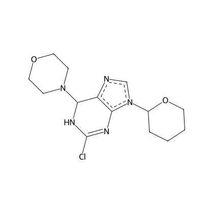 ClC1=Nc2c(ncn2C2CCCCO2)C(N2CCOCC2)N1